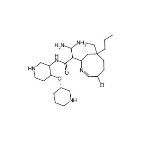 CCCC1(CC)CCC(Cl)/C=N\C(C(C(=O)NC2CNCCC2O[C@H]2CCCNC2)C(N)N)C1